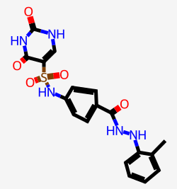 Cc1ccccc1NNC(=O)c1ccc(NS(=O)(=O)c2c[nH]c(=O)[nH]c2=O)cc1